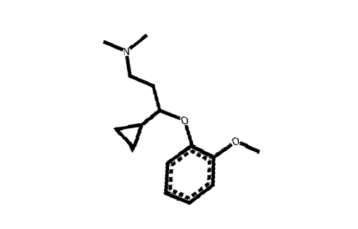 COc1ccccc1OC(CCN(C)C)C1CC1